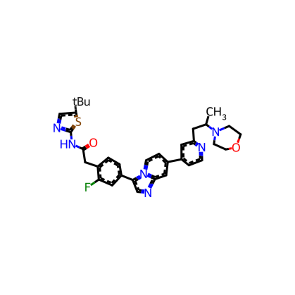 CC(Cc1cc(-c2ccn3c(-c4ccc(CC(=O)Nc5ncc(C(C)(C)C)s5)c(F)c4)cnc3c2)ccn1)N1CCOCC1